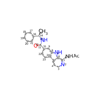 CC(=O)Nc1nccc2c1[nH]c1cc(C(=O)N[C@H](C)c3ccccc3)ccc12